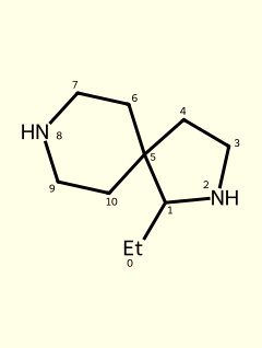 CCC1NCCC12CCNCC2